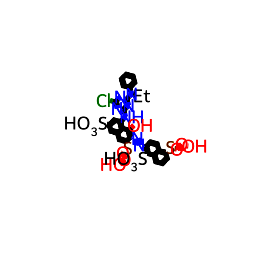 CCN(c1ccccc1)c1nc(Cl)nc(Nc2cc(S(=O)(=O)O)cc3cc(SOOO)c(/N=N/c4ccc5c(SOOO)cccc5c4S(=O)(=O)O)c(O)c23)n1